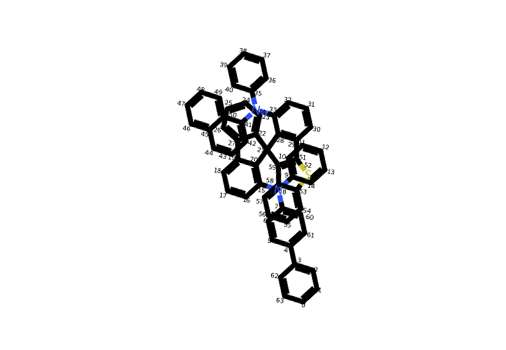 c1ccc(-c2ccc(N(c3ccccc3)c3cccc4c3C3(c5ccccc5-4)c4c(cccc4N(c4ccccc4)c4cccc5ccccc45)-c4sc5ccccc5c43)cc2)cc1